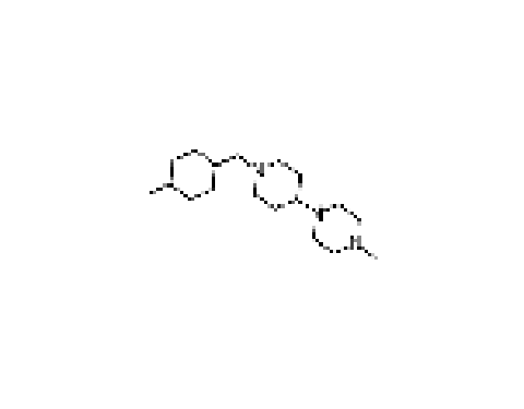 CC1CCC(CN2CCC(N3CCN(C)CC3)CC2)CC1